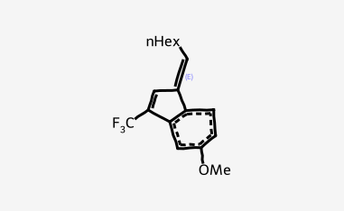 CCCCCC/C=C1\C=C(C(F)(F)F)c2cc(OC)ccc21